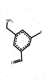 NCc1cc(F)cc(C=O)c1